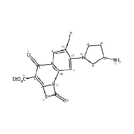 C=c1sc2c(C(=O)OCC)c(=O)c3cc(F)c(N4CCC(N)C4)cc3n12